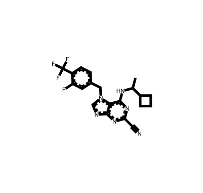 CC(Nc1nc(C#N)nc2ncn(Cc3ccc(C(F)(F)F)c(F)c3)c12)C1CCC1